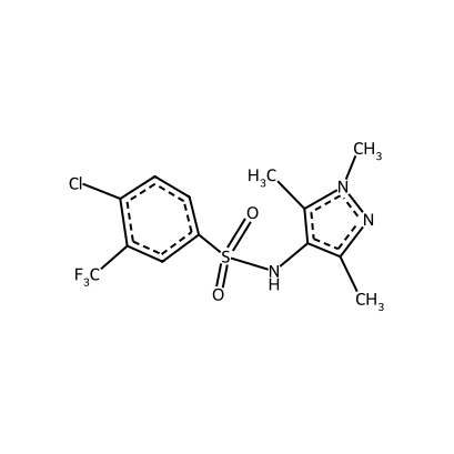 Cc1nn(C)c(C)c1NS(=O)(=O)c1ccc(Cl)c(C(F)(F)F)c1